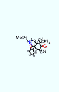 COCCN1CC=C2C(C)(C)C(=O)C(C#N)=C[C@]2(c2ccccc2)C1=O